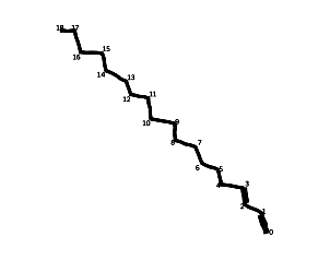 C=C/C=C/CCCCCCCCCCCCCCC